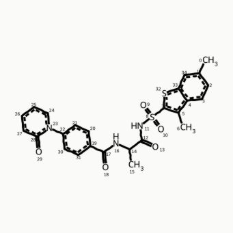 Cc1ccc2c(C)c(S(=O)(=O)NC(=O)C(C)NC(=O)c3ccc(-n4ccccc4=O)cc3)sc2c1